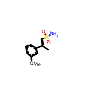 COc1cccc(/C(C)=C/S(N)(=O)=O)c1